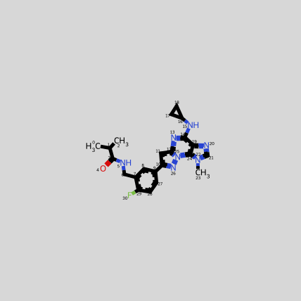 CC(C)C(=O)NCc1cc(-c2cc3nc(NC4CC4)c4ncn(C)c4n3n2)ccc1F